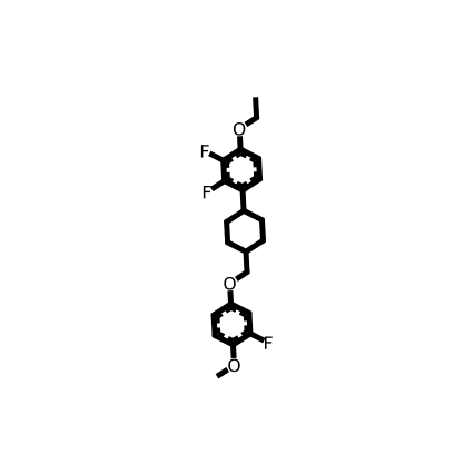 CCOc1ccc(C2CCC(COc3ccc(OC)c(F)c3)CC2)c(F)c1F